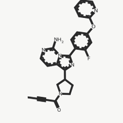 CC#CC(=O)N1CCC(c2nc(-c3ccc(Oc4ccccn4)cc3F)n3c(N)nccc23)C1